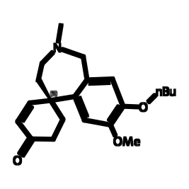 CCCCOc1cc2c(cc1OC)[C@]1(C=CC(=O)CC1)CCN(C)C2